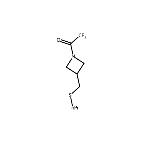 CCCSCC1CN(C(=O)C(F)(F)F)C1